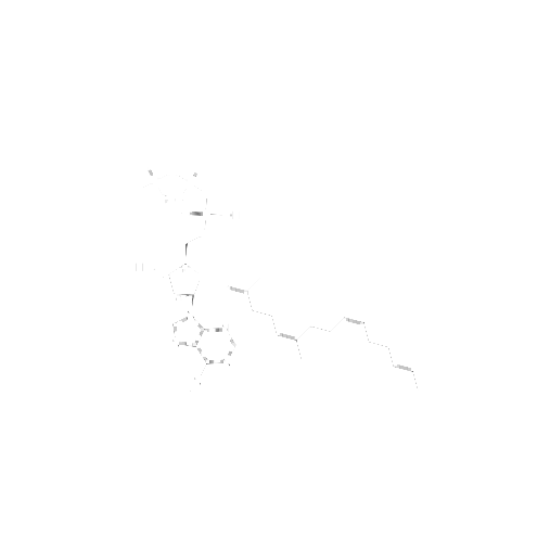 CC(C)=CCCC(C)=CCCC(C)=CCCC(C)=CC[C@@]1(n2cnc3c(N)ncnc32)O[C@H](COP(=O)(O)OP(=O)(O)OP(=O)(O)O)[C@@H](O)[C@H]1O